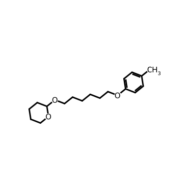 Cc1ccc(OCCCCCCOC2CCCCO2)cc1